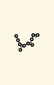 c1ccc(-c2ccc(-c3ccc4c(c3)c3cc(-c5ccc6c(c5)c5ccccc5n6-c5ccc(-c6cccc7c6sc6ccccc67)cc5)ccc3n4-c3ccccc3)cc2)cc1